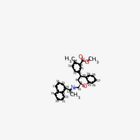 COC(=O)c1cc(C2C[C@H](C/N=C(\C)c3cccc4ccccc34)Oc3ccccc32)ccc1C